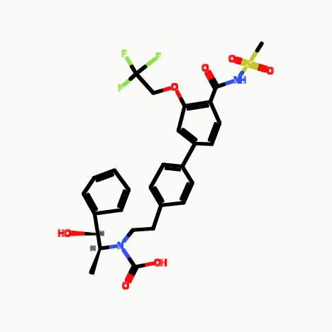 C[C@@H]([C@@H](O)c1ccccc1)N(CCc1ccc(-c2ccc(C(=O)NS(C)(=O)=O)c(OCC(F)(F)F)c2)cc1)C(=O)O